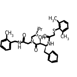 Cc1ccccc1CNC(=O)CN(CSC(C)C)C(=O)[C@@H](O)[C@H](Cc1ccccc1)NC(=O)CSc1c(C)cccc1C